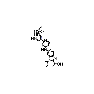 CCC(C)n1c([C@@H](C)O)nc2cnc(Nc3ccnc(/C(C=N)=C/NS(=O)(=O)CC)n3)cc21